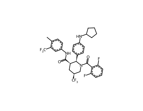 Cc1ccc(NC(=O)[C@@H]2C[C@H](C(F)(F)F)CN(C(=O)c3c(F)cccc3F)[C@@H]2c2ccc(NC3CCCC3)cc2)cc1C(F)(F)F